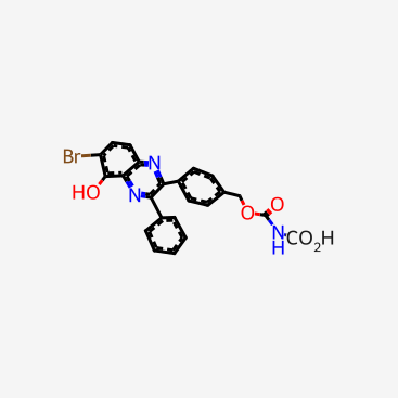 O=C(O)NC(=O)OCc1ccc(-c2nc3ccc(Br)c(O)c3nc2-c2ccccc2)cc1